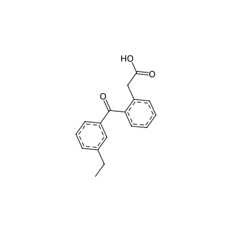 CCc1cccc(C(=O)c2ccccc2CC(=O)O)c1